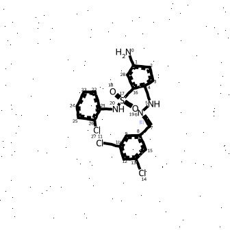 Nc1ccc(N/N=C/c2cc(Cl)cc(Cl)c2)c(S(=O)(=O)Nc2ccccc2Cl)c1